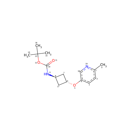 Cc1ccc(O[C@H]2C[C@H](NC(=O)OC(C)(C)C)C2)cn1